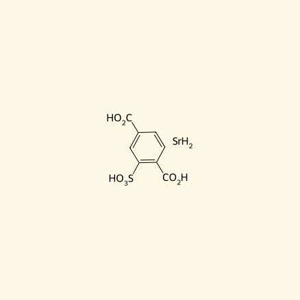 O=C(O)c1ccc(C(=O)O)c(S(=O)(=O)O)c1.[SrH2]